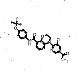 NC(=O)c1cnc(N2CCOc3c(C(=O)Nc4ccc(OC(F)(F)F)cc4)cccc32)c(Cl)c1